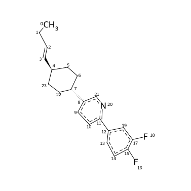 CCC=C[C@H]1CC[C@H](c2ccc(-c3ccc(F)c(F)c3)nc2)CC1